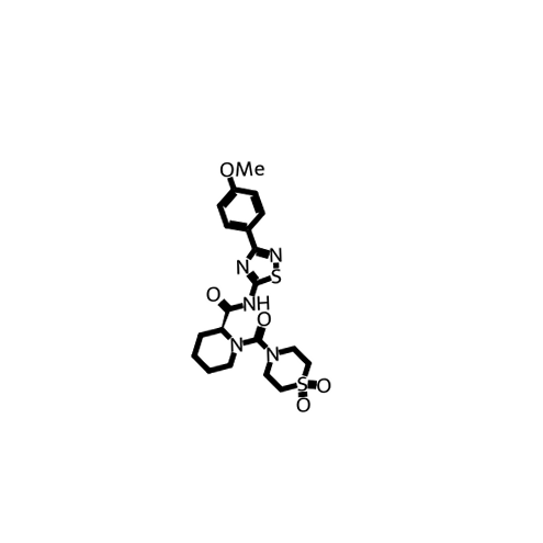 COc1ccc(-c2nsc(NC(=O)[C@@H]3CCCCN3C(=O)N3CCS(=O)(=O)CC3)n2)cc1